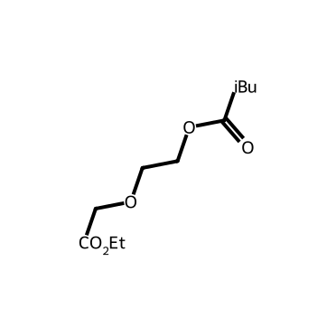 CCOC(=O)COCCOC(=O)C(C)CC